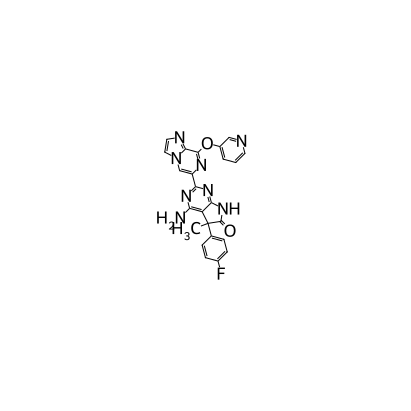 CC1(c2ccc(F)cc2)C(=O)Nc2nc(-c3cn4ccnc4c(Oc4cccnc4)n3)nc(N)c21